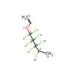 C=COC(F)(F)C(F)(F)C(F)(F)C(C)F